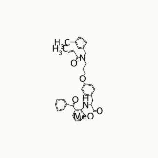 C/C=C/C(=O)N(CCCOc1ccc(C[C@H](Nc2ccccc2C(=O)c2ccccc2)C(=O)OC)cc1)Cc1cccc(C)c1